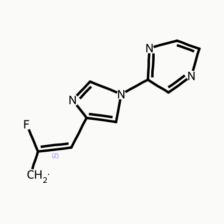 [CH2]/C(F)=C/c1cn(-c2cnccn2)cn1